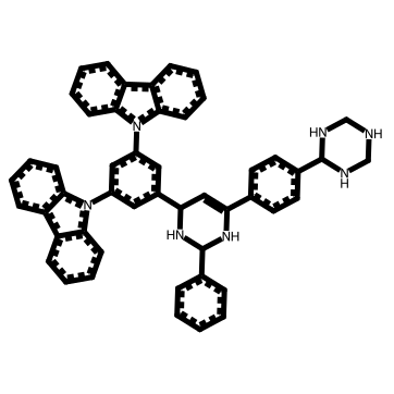 C1=C(c2ccc(C3NCNCN3)cc2)NC(c2ccccc2)NC1c1cc(-n2c3ccccc3c3ccccc32)cc(-n2c3ccccc3c3ccccc32)c1